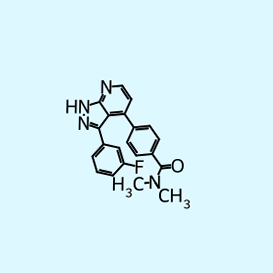 CN(C)C(=O)c1ccc(-c2ccnc3[nH]nc(-c4cccc(F)c4)c23)cc1